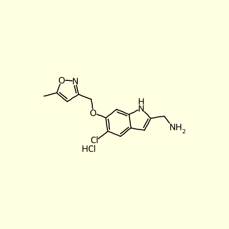 Cc1cc(COc2cc3[nH]c(CN)cc3cc2Cl)no1.Cl